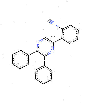 [C-]#[N+]c1ccccc1-c1cnc(-c2ccccc2)c(-c2ccccc2)n1